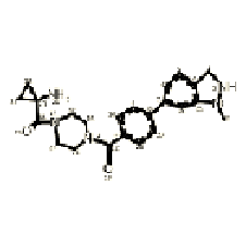 CN1NCc2ccc(-c3ccc(C(=O)N4CCN(C(=O)C5(N)CC5)CC4)cc3)cc21